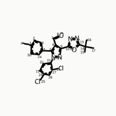 Cc1ccc(-c2c(C=O)c(-c3nnc(C(C)(C)C)o3)nn2-c2ccc(Cl)cc2Cl)cc1